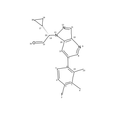 Cc1c(F)ccc(-c2cnc3cnn([C@H](C=O)C4CC4)c3c2)c1C